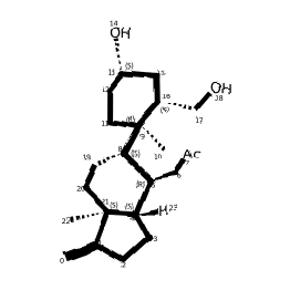 C=C1CC[C@H]2[C@H](CC(C)=O)[C@@H]([C@@]3(C)CC[C@H](O)C[C@@H]3CO)CC[C@]12C